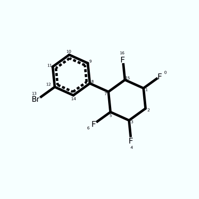 FC1CC(F)C(F)C(c2cccc(Br)c2)C1F